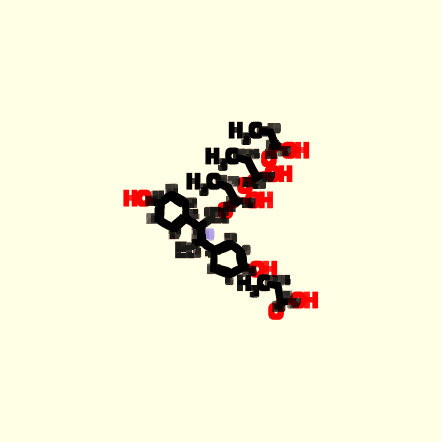 CC/C(=C(/CC)c1ccc(O)cc1)c1ccc(O)cc1.CCC(=O)O.CCC(=O)O.CCC(=O)O.CCC(=O)O